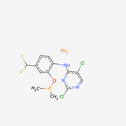 CP(C)Oc1cc(C(F)F)ccc1Nc1nc(Cl)ncc1Cl.P